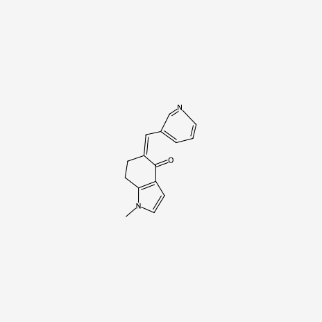 Cn1ccc2c1CCC(=Cc1cccnc1)C2=O